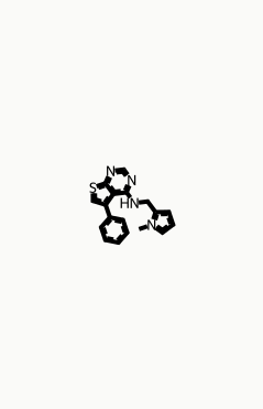 Cn1cccc1CNc1ncnc2scc(-c3ccccc3)c12